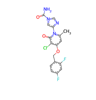 Cc1cc(OCc2ccc(F)cc2F)c(Cl)c(=O)n1-c1cn(C(N)=O)cn1